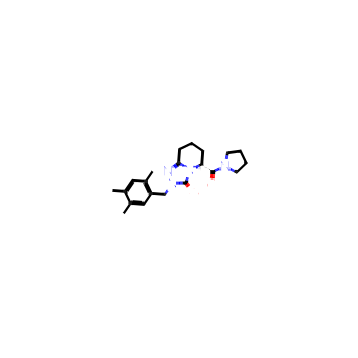 Cc1cc(C)c(Cn2nc3n(c2=O)[C@H](C(=O)N2CCCC2)CCC3)cc1C